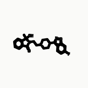 CC1(O)c2ccccc2C(=O)N1CCN1CCC(c2noc3cc(F)ccc23)CC1